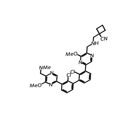 CNCc1ncc(-c2cccc(-c3cccc(-c4cnc(CNCC5(C#N)CCC5)c(OC)n4)c3Cl)c2Cl)nc1OC